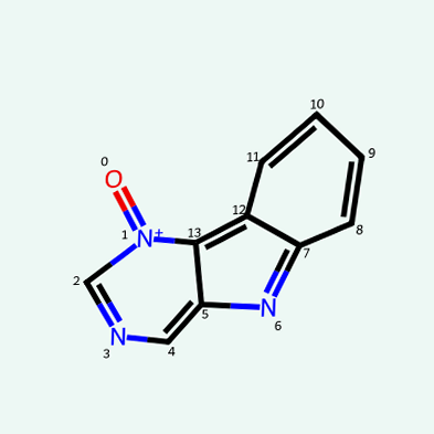 O=[N+]1C=NC=C2N=c3ccccc3=C21